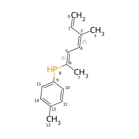 C=C/C(C)=C\C=C(/C)Pc1ccc(C)cc1